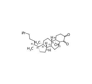 CC(C)CCC[C@@H](C)[C@H]1CC[C@H]2[C@@H]3CCC4C(=O)C(=O)CC[C@]4(C)[C@H]3CC[C@]12C